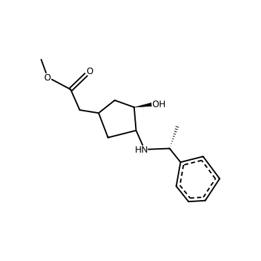 COC(=O)CC1CC(N[C@H](C)c2ccccc2)[C@H](O)C1